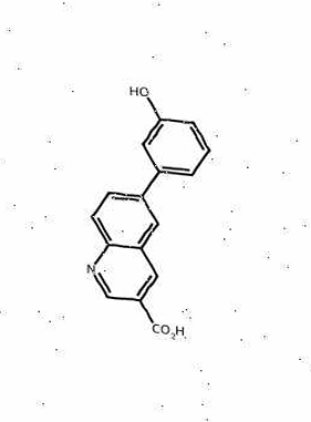 O=C(O)c1cnc2ccc(-c3cccc(O)c3)cc2c1